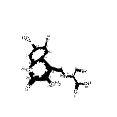 Cc1c(CN[C@@H](CS)C(=O)O)c2cc(Br)c(O)cc2oc1=O